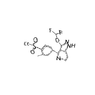 CCS(=O)(=O)c1ccc(-c2nccc3[nH]nc(OC(F)F)c23)cc1C